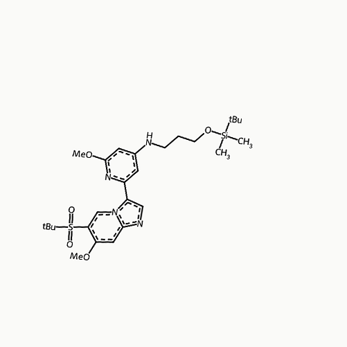 COc1cc(NCCCO[Si](C)(C)C(C)(C)C)cc(-c2cnc3cc(OC)c(S(=O)(=O)C(C)(C)C)cn23)n1